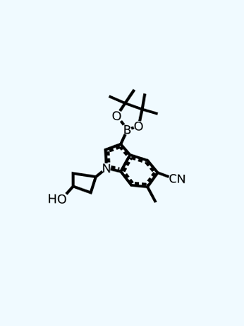 Cc1cc2c(cc1C#N)c(B1OC(C)(C)C(C)(C)O1)cn2C1CC(O)C1